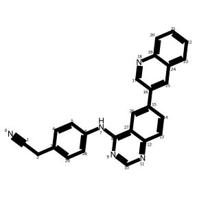 N#CCc1ccc(Nc2ncnc3ccc(-c4cnc5ccccc5c4)cc23)cc1